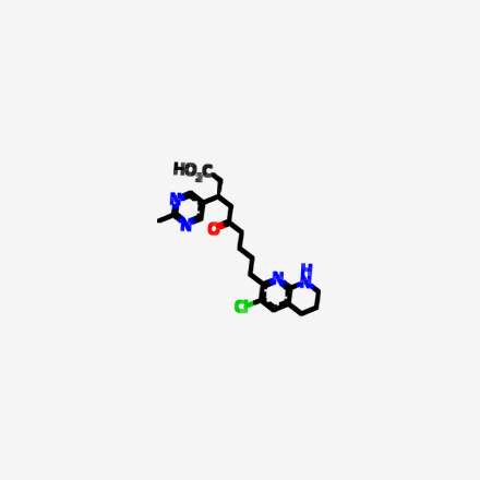 Cc1ncc([C@@H](CC(=O)O)CC(=O)CCCCc2nc3c(cc2Cl)CCCN3)cn1